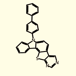 c1ccc(-c2ccc(-n3c4ccccc4c4c5sc6ncncc6c5ccc43)cc2)cc1